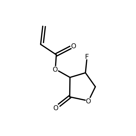 C=CC(=O)OC1C(=O)OCC1F